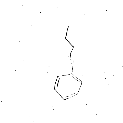 CC[CH2][Al+][c]1ccccc1.[H-]